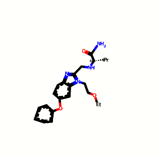 CCOCCn1c(CN[C@H](C(N)=O)C(C)C)nc2ccc(Oc3ccccc3)cc21